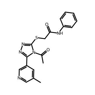 CC(=O)n1c(SCC(=O)Nc2ccccc2)nnc1-c1cncc(C)c1